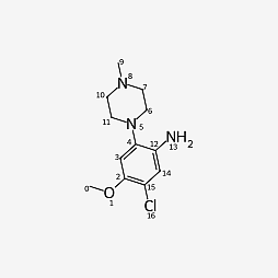 COc1cc(N2CCN(C)CC2)c(N)cc1Cl